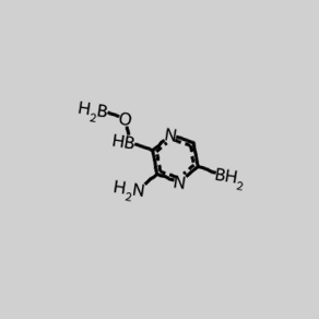 BOBc1ncc(B)nc1N